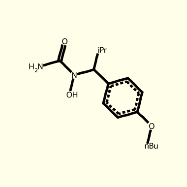 CCCCOc1ccc(C(C(C)C)N(O)C(N)=O)cc1